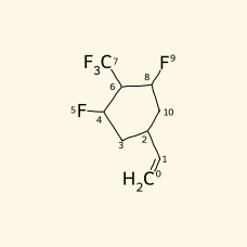 C=CC1CC(F)C(C(F)(F)F)C(F)C1